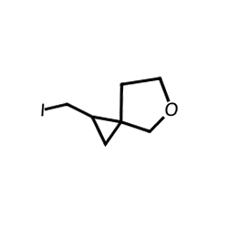 ICC1CC12CCOC2